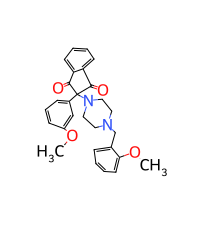 COc1cccc(C2(N3CCN(Cc4ccccc4OC)CC3)C(=O)c3ccccc3C2=O)c1